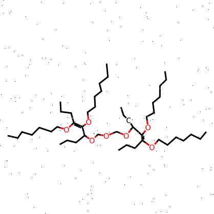 CCCCCCCOC(CCC)=C(OCCCCCCC)C(CCC)OCOCOC(CCC)C(OCCCCCCC)=C(CCC)OCCCCCCC